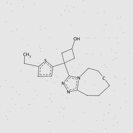 CCc1ccc(C2(c3nnc4n3CCCCCC4)CC(O)C2)s1